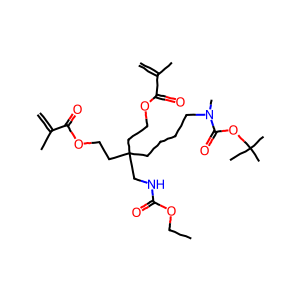 C=C(C)C(=O)OCCC(CCCCN(C)C(=O)OC(C)(C)C)(CCOC(=O)C(=C)C)CNC(=O)OCC